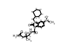 C[S+]([O-])c1ccc2c(c1)n(CC1CCCCC1)c(=O)n2C(=O)NCC(C)(C)CC(N)=O